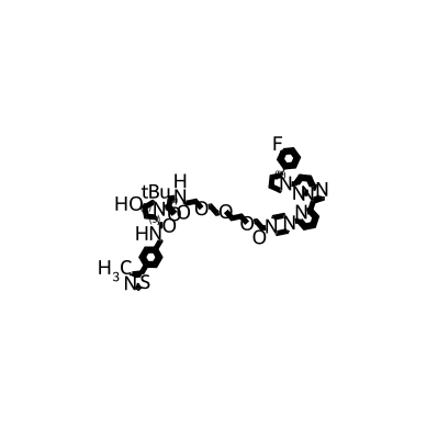 Cc1ncsc1-c1ccc(CNC(=O)[C@@H]2C[C@@H](O)CN2C(=O)[C@@H](NC(=O)COCCOCCOCC(=O)N2CCN(c3cccc(-c4cnc5ccc(N6CCC[C@@H]6c6cccc(F)c6)nn45)n3)CC2)C(C)(C)C)cc1